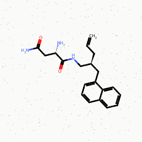 C=CC[C@H](CNC(=O)[C@@H](N)CC(N)=O)Cc1cccc2ccccc12